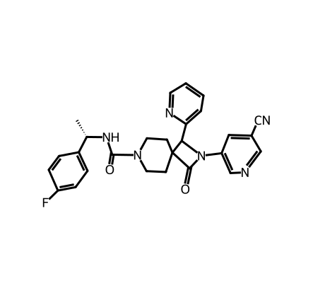 C[C@H](NC(=O)N1CCC2(CC1)C(=O)N(c1cncc(C#N)c1)C2c1ccccn1)c1ccc(F)cc1